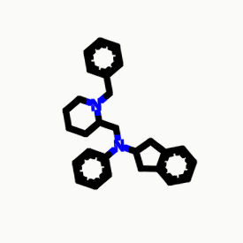 c1ccc(CN2CCCCC2CN(c2ccccc2)C2Cc3ccccc3C2)cc1